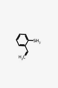 C=Cc1ccccc1[SiH3]